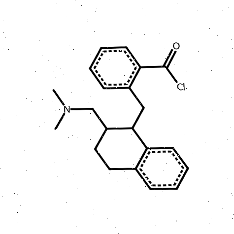 CN(C)CC1CCc2ccccc2C1Cc1ccccc1C(=O)Cl